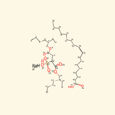 CCCCC(CC)COC(=O)CC(C(=O)OCC(CC)CCCC)S(=O)(=O)O.CCCCCCCC/C=C\CCCCCCCC(=O)O.[NaH]